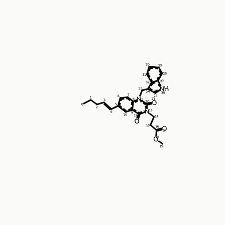 CCC/C=C/c1ccc2c(c1)c(=O)n(CCC(=O)OC)c(=O)n2Cc1c[nH]c2ccccc12